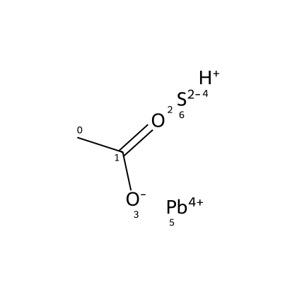 CC(=O)[O-].[H+].[Pb+4].[S-2]